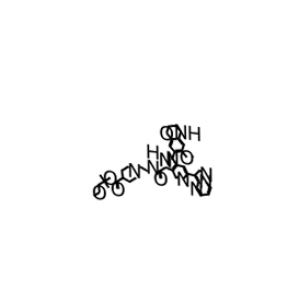 COCC(C)(C)OC(=O)C1CCN(CCNC(=O)c2nn(-c3cc4c(cc3OC)NCCO4)c3cc(-c4cnn5cccnc45)ncc23)CC1